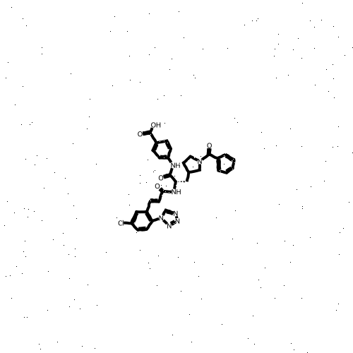 O=C(/C=C/c1cc(Cl)ccc1-n1cnnn1)N[C@@H](CC1CCN(C(=O)c2ccccc2)C1)C(=O)Nc1ccc(C(=O)O)cc1